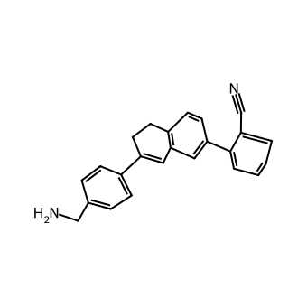 N#Cc1ccccc1-c1ccc2c(c1)C=C(c1ccc(CN)cc1)CC2